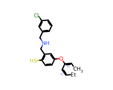 C/C=C(\C=C/CC)Oc1ccc(S)c(CNCc2cccc(Cl)c2)c1